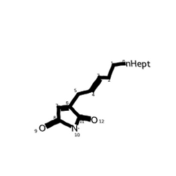 CCCCCCCCCC=CCC1=CC(=O)[N]C1=O